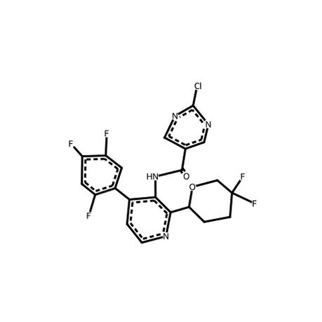 O=C(Nc1c(-c2cc(F)c(F)cc2F)ccnc1C1CCC(F)(F)CO1)c1cnc(Cl)nc1